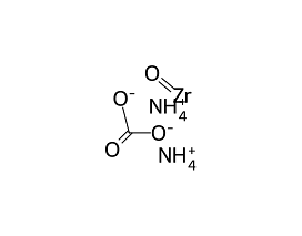 O=C([O-])[O-].[NH4+].[NH4+].[O]=[Zr]